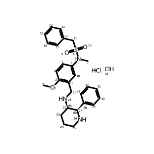 COc1ccc(N(C)S(=O)(=O)Cc2ccccc2)cc1CN[C@@H]1CCCN[C@@H]1c1ccccc1.Cl.Cl